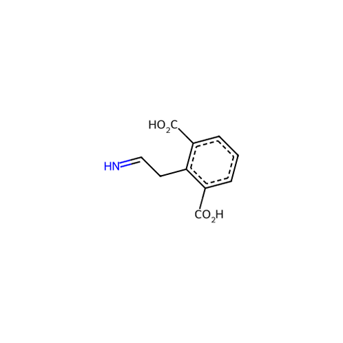 N=CCc1c(C(=O)O)cccc1C(=O)O